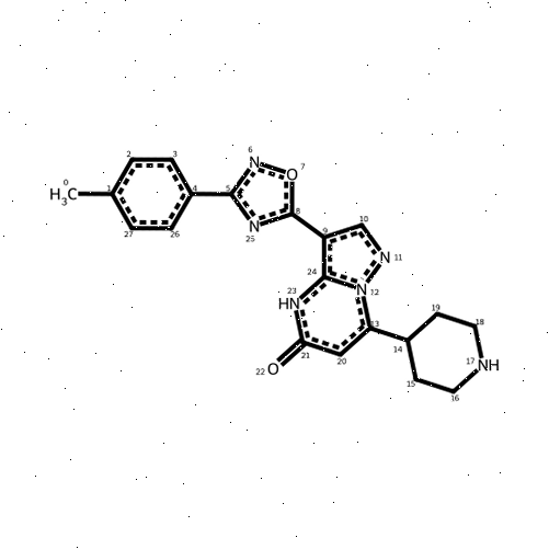 Cc1ccc(-c2noc(-c3cnn4c(C5CCNCC5)cc(=O)[nH]c34)n2)cc1